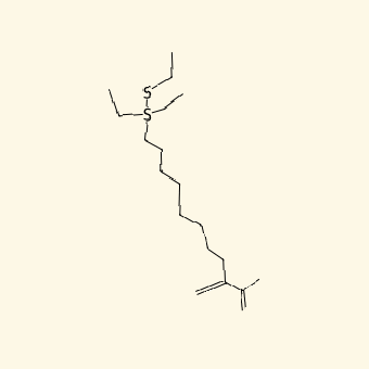 C=C(C)C(=C)CCCCCCCCS(CC)(CC)SCC